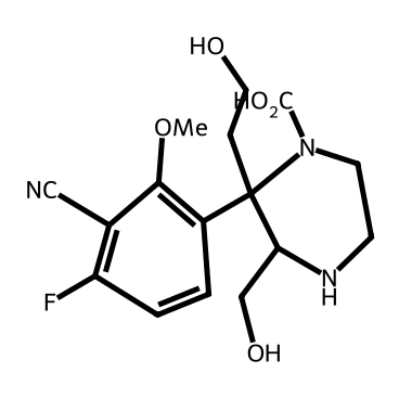 COc1c(C2(CCO)C(CO)NCCN2C(=O)O)ccc(F)c1C#N